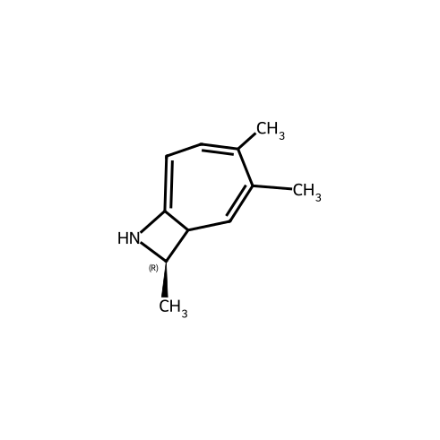 CC1=CC=C2N[C@H](C)C2C=C1C